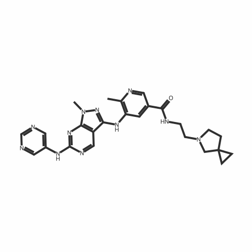 Cc1ncc(C(=O)NCCN2CCC3(CC3)C2)cc1Nc1nn(C)c2nc(Nc3cncnc3)ncc12